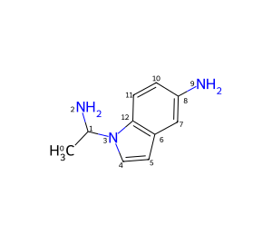 CC(N)n1ccc2cc(N)ccc21